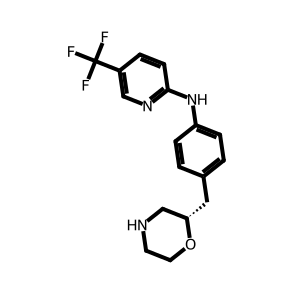 FC(F)(F)c1ccc(Nc2ccc(C[C@H]3CNCCO3)cc2)nc1